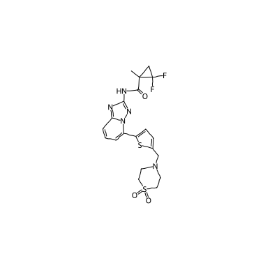 CC1(C(=O)Nc2nc3cccc(-c4ccc(CN5CCS(=O)(=O)CC5)s4)n3n2)CC1(F)F